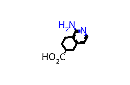 Nc1nccc2c1CC[C@H](C(=O)O)C2